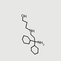 NC(CCNCCCO)(C1CCCCC1)C1CCCCC1